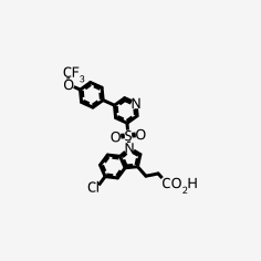 O=C(O)CCc1cn(S(=O)(=O)c2cncc(-c3ccc(OC(F)(F)F)cc3)c2)c2ccc(Cl)cc12